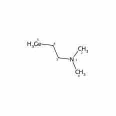 CN(C)C[CH2][GeH3]